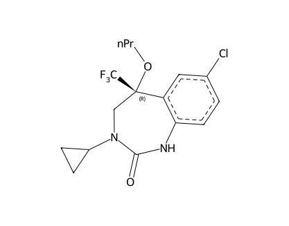 CCCO[C@@]1(C(F)(F)F)CN(C2CC2)C(=O)Nc2ccc(Cl)cc21